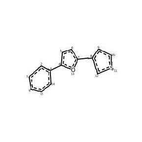 c1ccc(-c2ccc(-c3ccsc3)o2)cc1